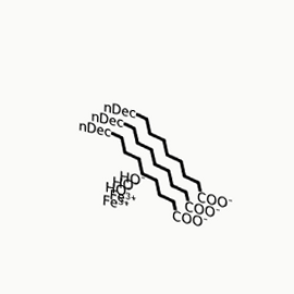 CCCCCCCCCCCCCCCCCC(=O)[O-].CCCCCCCCCCCCCCCCCC(=O)[O-].CCCCCCCCCCCCCCCCCC(=O)[O-].[Fe+3].[Fe+3].[OH-].[OH-].[OH-]